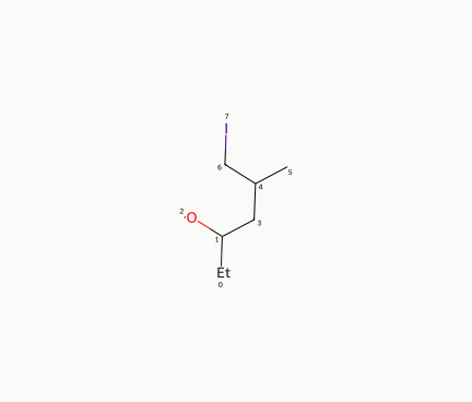 CCC([O])CC(C)CI